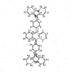 C1=CCC2C(=C1)C(c1ccc(-n3c4c(c5c3C=CCC5)CCC=C4)cc1)=c1ccccc1=C2c1ccc(-n2c3c(c4ccccc42)CCC=C3)cc1